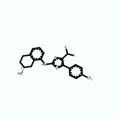 O[C@@H]1CCc2cccc(Nc3nc(C(F)F)c(-c4ccc(C(F)(F)F)cc4)o3)c2C1